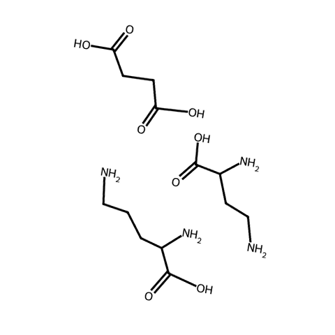 NCCC(N)C(=O)O.NCCCC(N)C(=O)O.O=C(O)CCC(=O)O